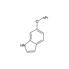 CCCOc1ccc2cc[nH]c2c1